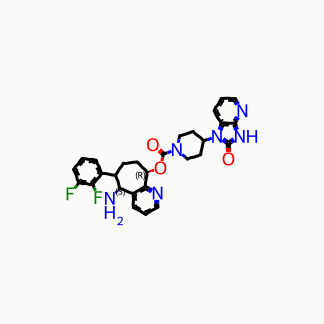 N[C@@H]1c2cccnc2[C@H](OC(=O)N2CCC(n3c(=O)[nH]c4ncccc43)CC2)CCC1c1cccc(F)c1F